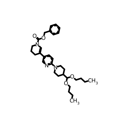 CCCCOC(OCCCC)C1CCN(c2ccc(C3=CN(C(=O)OCc4ccccc4)CCC3)cn2)CC1